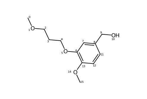 COCCCOc1cc(CO)ccc1OC